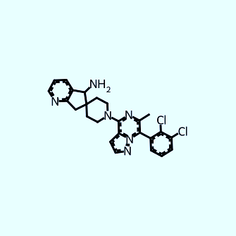 Cc1nc(N2CCC3(CC2)Cc2ncccc2C3N)c2ccnn2c1-c1cccc(Cl)c1Cl